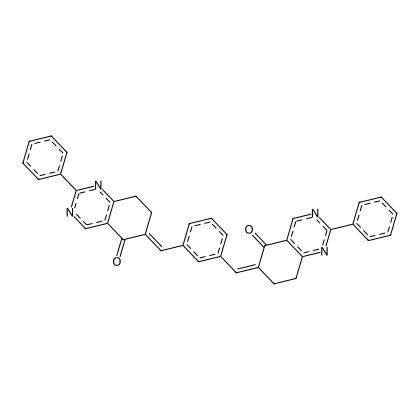 O=C1C(=Cc2cccc(C=C3CCc4nc(-c5ccccc5)ncc4C3=O)c2)CCc2nc(-c3ccccc3)ncc21